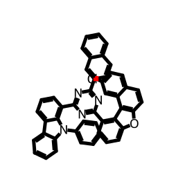 Clc1ccc2ccc3oc4cccc(-c5nc(-c6ccc7ccccc7c6)nc(-c6cccc7c8ccccc8n(-c8ccccc8)c67)n5)c4c3c2c1